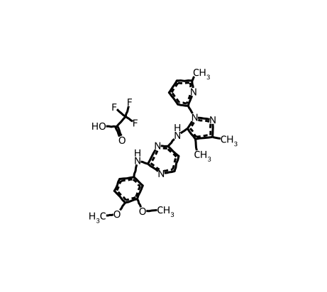 COc1ccc(Nc2nccc(Nc3c(C)c(C)nn3-c3cccc(C)n3)n2)cc1OC.O=C(O)C(F)(F)F